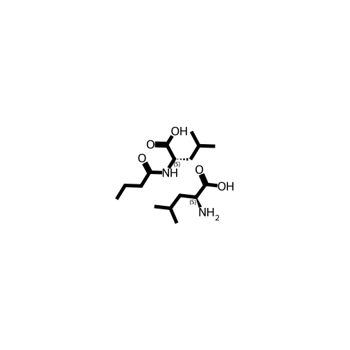 CC(C)C[C@H](N)C(=O)O.CCCC(=O)N[C@@H](CC(C)C)C(=O)O